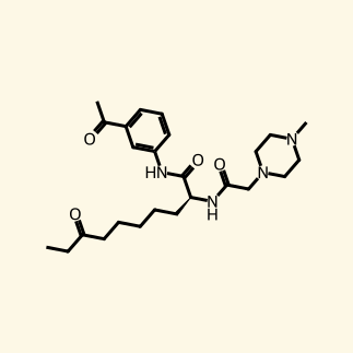 CCC(=O)CCCCC[C@H](NC(=O)CN1CCN(C)CC1)C(=O)Nc1cccc(C(C)=O)c1